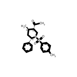 CC(=O)[C@@H]1CN(S(=O)(=O)c2ccc(C)cc2)[C@H](c2ccccc2)C[C@H]1C